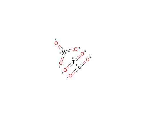 O=[Si]=O.[O]=[Ti]=[O].[O]=[W](=[O])=[O]